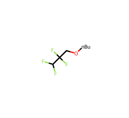 CCCCOCC(F)(F)C(F)F